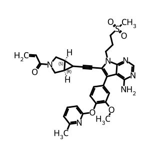 C=CC(=O)N1C[C@@H]2C(C#Cc3c(-c4ccc(Oc5cccc(C)n5)c(OC)c4)c4c(N)ncnc4n3CCCS(C)(=O)=O)[C@@H]2C1